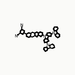 N#Cc1cc(C#N)cc(-c2ccc3c(c2)Cc2cc4ccc(-n5c6ccc(N7c8ccccc8C8C=CC=CC87)cc6c6cc(-n7c8ccccc8c8ccccc87)ccc65)cc4cc2C3)c1